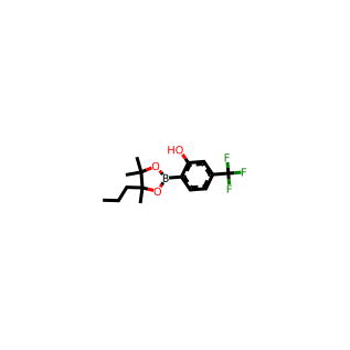 CCCC1(C)OB(c2ccc(C(F)(F)F)cc2O)OC1(C)C